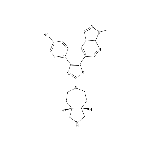 Cn1ncc2cc(-c3sc(N4CC[C@@H]5CNC[C@@H]5CC4)nc3-c3ccc(C#N)cc3)cnc21